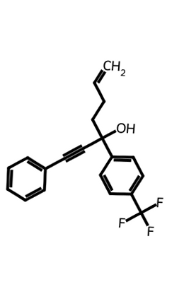 C=CCCC(O)(C#Cc1ccccc1)c1ccc(C(F)(F)F)cc1